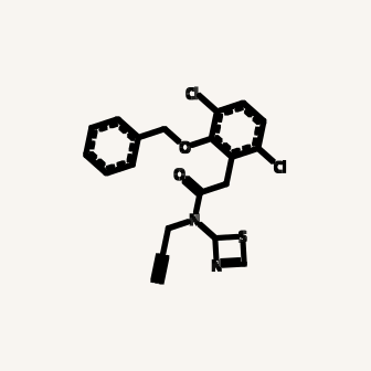 C#CCN(C(=O)Cc1c(Cl)ccc(Cl)c1OCc1ccccc1)C1N=CS1